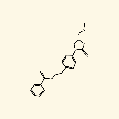 COC[C@H]1CN(c2ccc(CCCC(=O)c3ccccc3)cc2)C(=O)O1